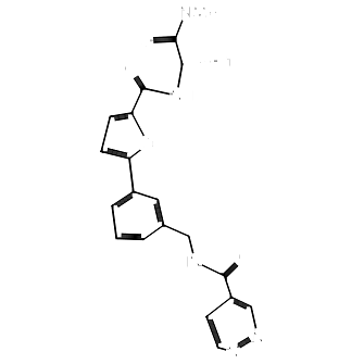 CNC(=O)[C@@H](NC(=O)c1ccc(-c2cccc(CNC(=O)c3ccnnc3)c2)o1)C(C)C